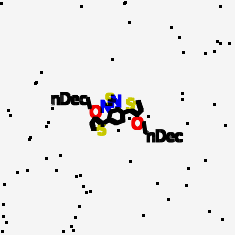 CCCCCCCCCCCCOc1ccsc1-c1ccc(-c2sccc2OCCCCCCCCCCCC)c2nsnc12